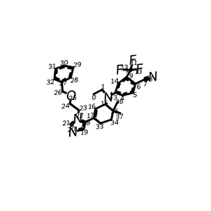 CCN(c1ccc(C#N)c(C(F)(F)F)c1)C1C=C(c2cncn2CCOCc2ccccc2)CCC1(C)C